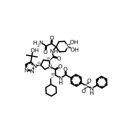 CC(C)(O)c1cnnn1[C@H]1C[C@@H](C(=O)NC2(C(=O)C(N)=O)CCS(O)(O)CC2)N(C(=O)[C@@H](CC2CCCCC2)NC(=O)c2ccc(S(=O)(=O)Nc3ccccc3)cc2)C1